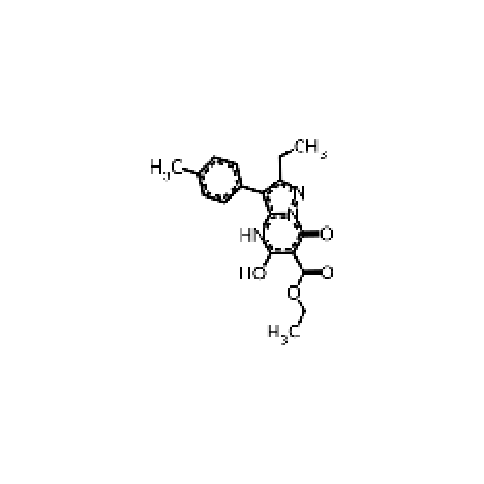 CCOC(=O)c1c(O)[nH]c2c(-c3ccc(C)cc3)c(CC)nn2c1=O